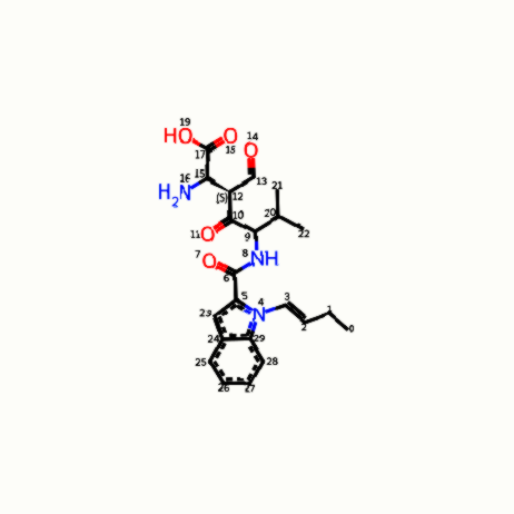 CCC=Cn1c(C(=O)NC(C(=O)[C@H](C=O)C(N)C(=O)O)C(C)C)cc2ccccc21